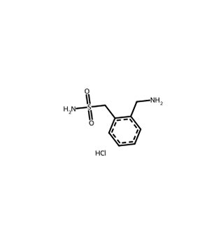 Cl.NCc1ccccc1CS(N)(=O)=O